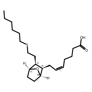 CCCCCCSCC[C@H]1[C@@H](C/C=C\CCCC(=O)O)[C@H]2CC[C@@H]1O2